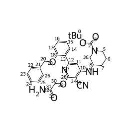 CC(C)(C)OC(=O)N1CCCC(Nc2cc(-c3ccccc3OCc3ccccc3)nc(OCC(N)=O)c2C#N)C1